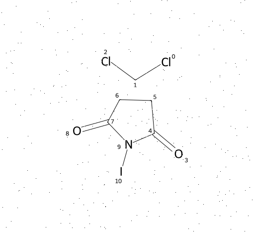 ClCCl.O=C1CCC(=O)N1I